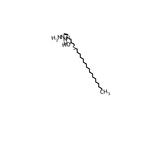 CCCCCCCCCCCCCCCCCCSCC(O)CN1C=CN(N)N1